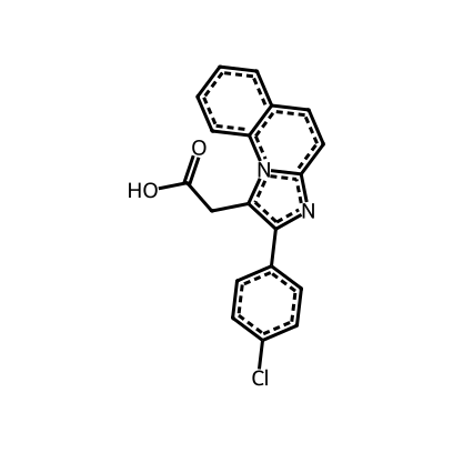 O=C(O)Cc1c(-c2ccc(Cl)cc2)nc2ccc3ccccc3n12